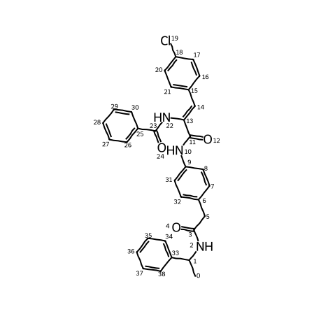 CC(NC(=O)Cc1ccc(NC(=O)C(=Cc2ccc(Cl)cc2)NC(=O)c2ccccc2)cc1)c1ccccc1